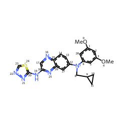 COc1cc(OC)cc(N(CC2CC2)c2ccc3ncc(Nc4nncs4)nc3c2)c1